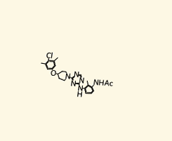 CC(=O)Nc1cccc(Nc2ncnc(N3CCC(Oc4cc(C)c(Cl)c(C)c4)CC3)n2)c1C